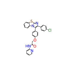 O=C(COc1ccc(-c2c(-c3ccc(Cl)cc3)nc3sc4ccccc4n23)cc1)Nc1ccccn1